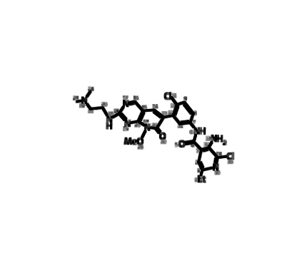 CCc1cc(C(=O)Nc2ccc(Cl)c(-c3cc4cnc(NCCN(C)C)nc4n(OC)c3=O)c2)c(N)c(Cl)n1